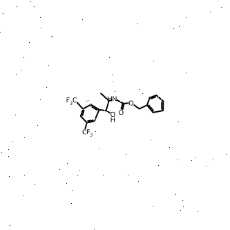 CC(NC(=O)OCc1ccccc1)[C@@H](O)c1cc(C(F)(F)F)cc(C(F)(F)F)c1